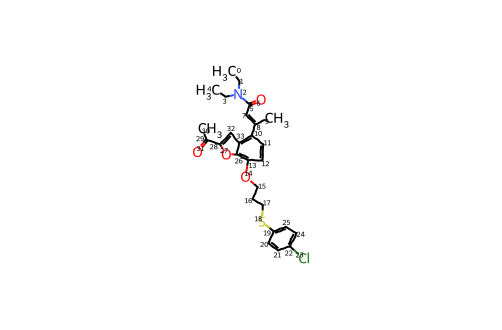 CCN(CC)C(=O)C=C(C)c1ccc(OCCCSc2ccc(Cl)cc2)c2oc(C(C)=O)cc12